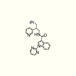 CC(C)CC(CNC(=O)c1cn(-c2ncccn2)c2ccccc12)c1cccnc1